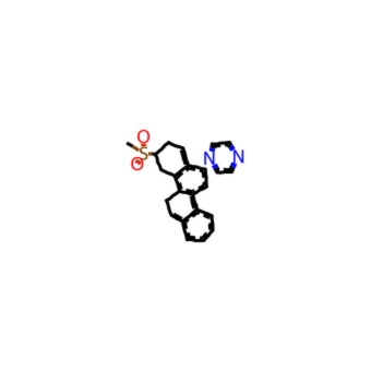 CS(=O)(=O)C1CC=c2ccc3c(c2C1)CC=c1ccccc1=3.c1cnccn1